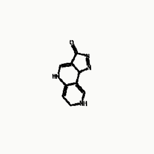 O=C1N=NC2C1=CNC1=CCNC=C12